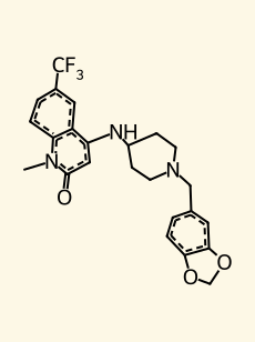 Cn1c(=O)cc(NC2CCN(Cc3ccc4c(c3)OCO4)CC2)c2cc(C(F)(F)F)ccc21